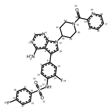 Nc1ncnc2c1c(-c1ccc(NS(=O)(=O)c3ccc(F)cc3)c(F)c1)cn2C1CCN(C(=O)c2ccccn2)CC1